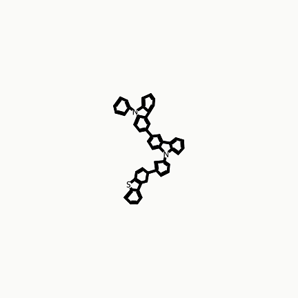 C1=CC(c2cccc(-n3c4ccccc4c4cc(-c5ccc6c(c5)c5ccccc5n6-c5ccccc5)ccc43)c2)Cc2c1sc1ccccc21